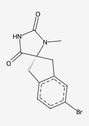 CN1C(=O)NC(=O)[C@@]12Cc1ccc(Br)cc1C2